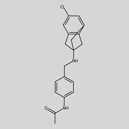 CC(=O)Nc1ccc(CNC23Cc4cc(Cl)cc(c4C2)C3)cc1